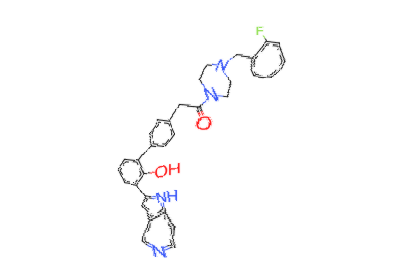 O=C(Cc1ccc(-c2cccc(-c3cc4cnccc4[nH]3)c2O)cc1)N1CCN(Cc2ccccc2F)CC1